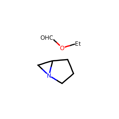 C1CC2CN2C1.CCOC=O